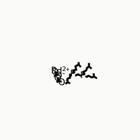 CC(=O)[O-].CC(=O)[O-].CC(C)CCCP(CCCC(C)C)CCCP(CCCC(C)C)CCCC(C)C.[Pd+2]